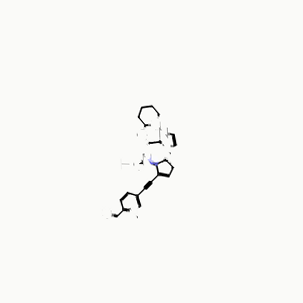 C[C@H](OC1CCCCO1)c1nccn1[C@@H]1CC=C(C#Cc2ccc(C=O)nc2)/C1=N\O